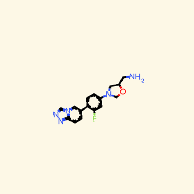 NCC1CN(c2ccc(-c3ccc4nncn4c3)c(F)c2)CO1